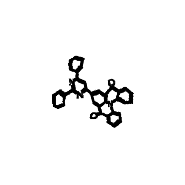 O=c1c2ccccc2n2c3ccccc3c(=O)c3cc(-c4cc(-c5ccccc5)nc(-c5ccccc5)n4)cc1c32